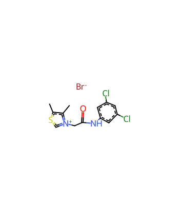 Cc1sc[n+](CC(=O)Nc2cc(Cl)cc(Cl)c2)c1C.[Br-]